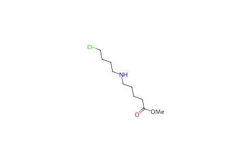 COC(=O)CCCCNCCCCCl